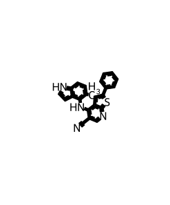 Cc1ccc2[nH]ccc2c1Nc1c(C#N)cnc2sc(-c3ccccc3)cc12